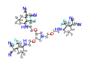 CC1(C)CC(NCCOCCN(CCOCCNC2=C(C(F)(F)F)C(=C(C#N)C#N)CC(C)(C)C2)CCOCCNC2=C(C(F)(F)F)C(=C(C#N)C#N)CC(C)(C)C2)=C(C(F)(F)F)C(=C(C#N)C#N)C1